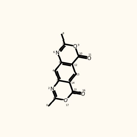 Cc1nc2cc3nc(C)oc(=O)c3cc2c(=O)o1